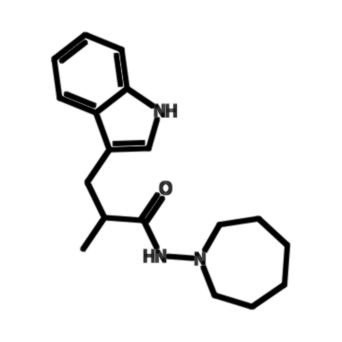 CC(Cc1c[nH]c2ccccc12)C(=O)NN1CCCCCC1